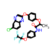 CC(Oc1ccc(Oc2cnc3cc(Cl)ccc3n2)cc1)C(=O)Nc1ccc(OC(F)(F)C(F)F)cc1